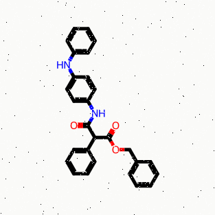 O=C(Nc1ccc(Nc2ccccc2)cc1)C(C(=O)OCc1ccccc1)c1ccccc1